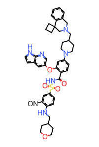 O=Nc1cc(S(=O)(=O)NC(=O)c2ccc(N3CCC(CN4Cc5ccccc5C5(CCC5)C4)CC3)cc2Oc2cnc3[nH]ccc3c2)ccc1NCC1CCOCC1